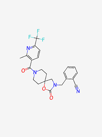 Cc1nc(C(F)(F)F)ccc1C(=O)N1CCC2(CC1)CN(Cc1ccccc1C#N)C(=O)O2